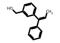 CC=C(c1ccccc1)c1cccc(CO)c1